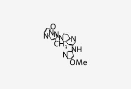 COc1cncc(Nc2cnc3c(c2)CN(c2nn4c(=O)ccnc4cc2C)CC3)c1